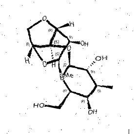 CO[C@H]1O[C@@H]2CO[C@H]([C@H]1O)[C@H]2O[C@@H]1O[C@H](CO)[C@H](O)[C@H](C)[C@H]1O